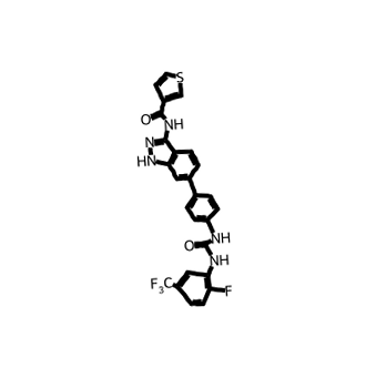 O=C(Nc1ccc(-c2ccc3c(NC(=O)c4ccsc4)n[nH]c3c2)cc1)Nc1cc(C(F)(F)F)ccc1F